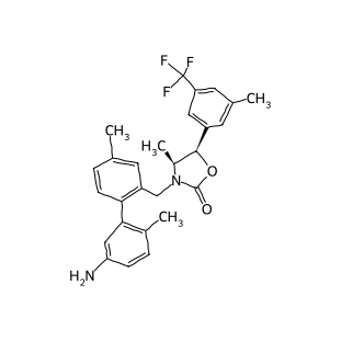 Cc1cc([C@H]2OC(=O)N(Cc3cc(C)ccc3-c3cc(N)ccc3C)[C@H]2C)cc(C(F)(F)F)c1